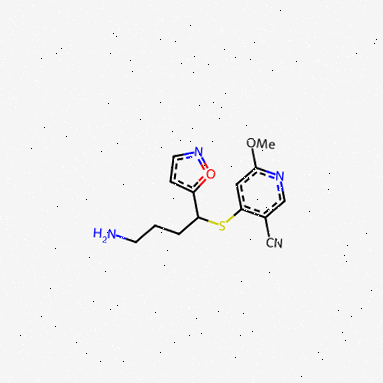 COc1cc(SC(CCCN)c2ccno2)c(C#N)cn1